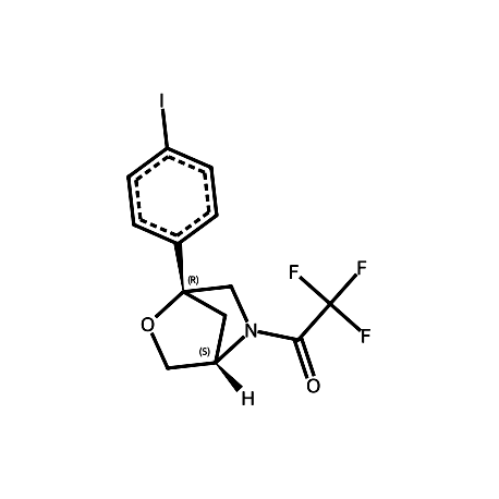 O=C(N1C[C@]2(c3ccc(I)cc3)C[C@H]1CO2)C(F)(F)F